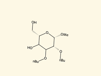 CCCCOC1C(O)[C@H](CO)O[C@H](OC)[C@@H]1OCCCC